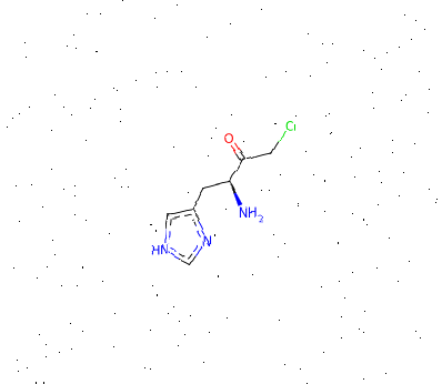 N[C@@H](Cc1c[nH]cn1)C(=O)CCl